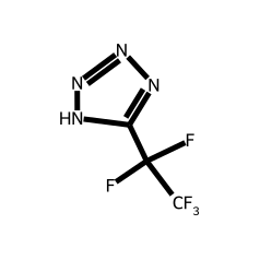 FC(F)(F)C(F)(F)c1nnn[nH]1